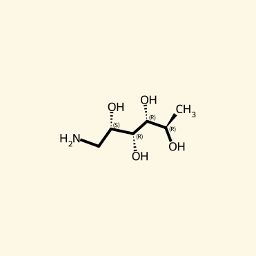 C[C@@H](O)[C@@H](O)[C@H](O)[C@@H](O)CN